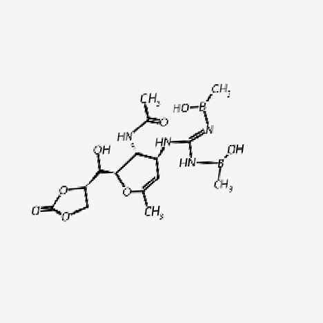 CB(O)/N=C(/NB(C)O)N[C@H]1C=C(C)O[C@@H](C(O)[C@H]2COC(=O)O2)[C@@H]1NC(C)=O